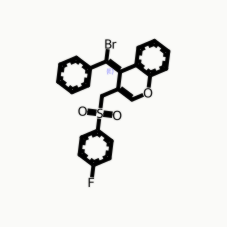 O=S(=O)(CC1=COc2ccccc2/C1=C(\Br)c1ccccc1)c1ccc(F)cc1